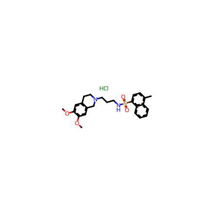 COc1cc2c(cc1OC)CN(CCCNS(=O)(=O)c1ccc(C)c3ccccc13)CC2.Cl